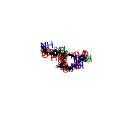 COc1ccc(C[C@H]2NC(=O)/C=C/C[C@@H]([C@H](C)C(O)C(Cl)c3ccc(COC(=O)C(C)(C)CN)cc3)OC(=O)[C@H](CC(C)C)OC(=O)C(C)(C)CNC2=O)cc1Cl